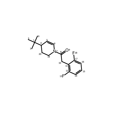 CC(C)(C)C1C=CN(C(=O)Cc2c(F)cccc2F)CC1